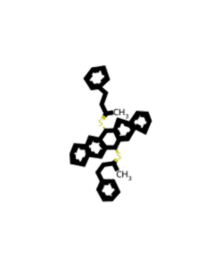 CC(CCc1ccccc1)S[C@H]1c2cc3ccccc3cc2[C@H](SC(C)CCc2ccccc2)c2cc3ccccc3cc21